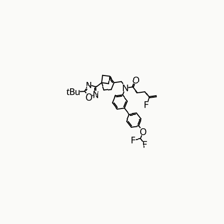 C=C(F)CCC(=O)N(CC1=C2CC(c3noc(C(C)(C)C)n3)(CC1)C2)c1cccc(-c2ccc(OC(F)F)cc2)c1